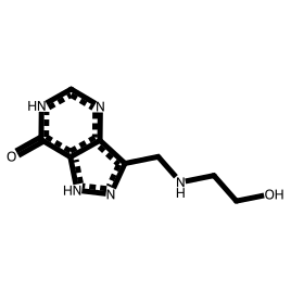 O=c1[nH]cnc2c(CNCCO)n[nH]c12